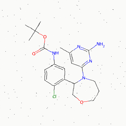 Cc1cc(N2CCCOCC2c2cc(NC(=O)OC(C)(C)C)ccc2Cl)nc(N)n1